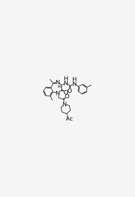 CC(=O)C1CCN(C(=O)CN2C(=O)[C@H](NC(=O)Nc3cccc(C)c3)N=C(C)c3cccc(C)c32)CC1